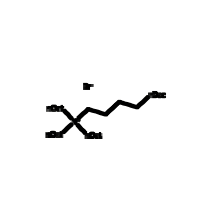 CCCCCCCCCCCCCC[N+](CCCCCCCC)(CCCCCCCC)CCCCCCCC.[Br-]